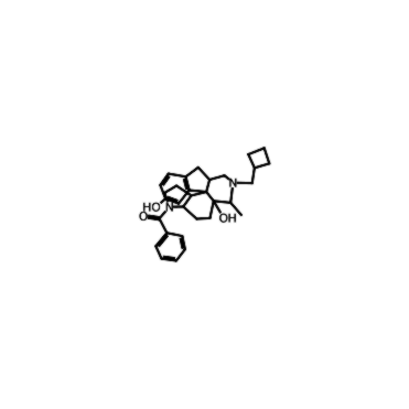 CC1N(CC2CCC2)CC2Cc3ccc(O)cc3C23C2CCN(C(=O)c4ccccc4)C2CCC13O